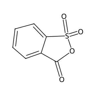 O=C1OS(=O)(=O)c2ccccc21